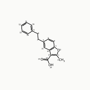 Cc1oc2ccc(CCc3ccccc3)cc2c1C(=O)O